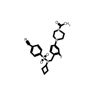 CC(=O)N1CCN(c2ccc(CN(C3CCC3)S(=O)(=O)c3ccc(C#N)cc3)c(F)c2)CC1